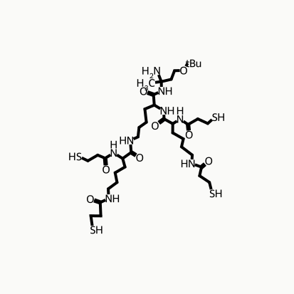 CC(N)(CCOC(C)(C)C)NC(=O)C(CCCCNC(=O)C(CCCCNC(=O)CCS)NC(=O)CCS)NC(=O)C(CCCCNC(=O)CCS)NC(=O)CCS